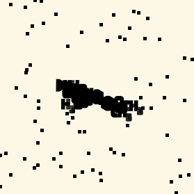 COC(=O)N(C)c1ccc(-c2ccc3nc(C(C(=O)NCC(=O)NC4CC4)S(C)(=O)=O)sc3c2)cc1